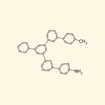 Cc1ccc(-c2cccc(-c3cc(-c4ccccc4)cc(-c4cccc(-c5ccc(N)cc5)c4)c3)c2)cc1